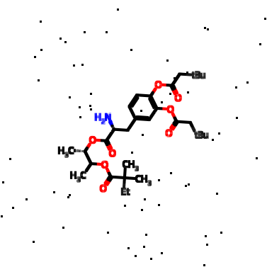 CCC(C)(C)C(=O)OC(C)[C@H](C)OC(=O)[C@@H](N)Cc1ccc(OC(=O)CC(C)(C)C)c(OC(=O)CC(C)(C)C)c1